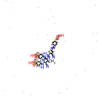 Cc1c(C#N)c(Nc2ccc(S(=O)(=O)O)cc2)nc(Nc2ccc(S(=O)(=O)O)cc2)c1N=Nc1sc(N=Nc2ccc(SOOO)cc2)cc1C#N